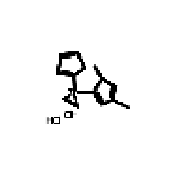 CC1=CC(C)[C]([Zr]2([C]3=CC=CC3)[CH2][CH2]2)=C1.Cl.Cl